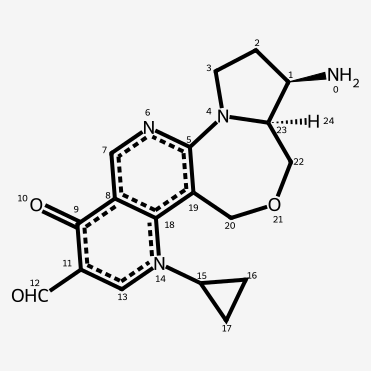 N[C@@H]1CCN2c3ncc4c(=O)c(C=O)cn(C5CC5)c4c3COC[C@H]12